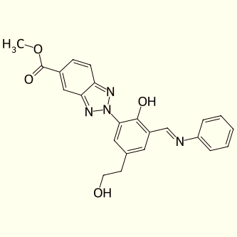 COC(=O)c1ccc2nn(-c3cc(CCO)cc(C=Nc4ccccc4)c3O)nc2c1